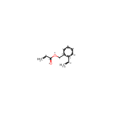 C=CC(=O)OCc1ccccc1C=C